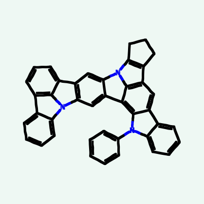 c1ccc(-n2c3ccccc3c3cc4c5c(n6c7cc8c9cccc%10c%11ccccc%11n(c8cc7c(c32)c46)c%109)CCC5)cc1